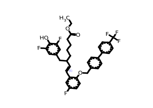 CCOC(=O)CCCCC(/C=C/c1cc(F)ccc1OCc1ccc(-c2ccc(C(F)(F)F)cc2)cc1)Cc1cc(F)c(O)c(F)c1